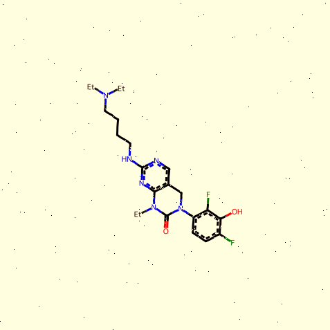 CCN(CC)CCCCNc1ncc2c(n1)N(CC)C(=O)N(c1ccc(F)c(O)c1F)C2